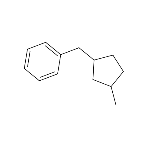 CC1CCC(Cc2ccccc2)C1